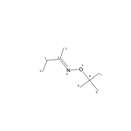 CCC(C)=NOC(C)(C)C